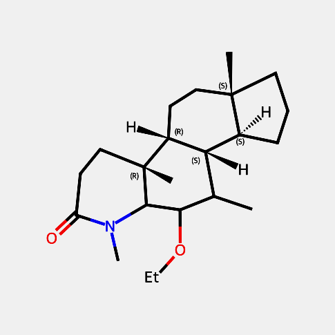 CCOC1C(C)[C@@H]2[C@@H](CC[C@]3(C)CCC[C@@H]23)[C@@]2(C)CCC(=O)N(C)C12